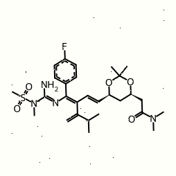 C=C(C(/C=C/[C@@H]1C[C@H](CC(=O)N(C)C)OC(C)(C)O1)=C(\N=C(/N)N(C)S(C)(=O)=O)c1ccc(F)cc1)C(C)C